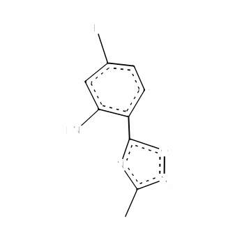 Cc1noc(-c2ccc(F)cc2N)n1